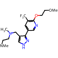 CNCCN(C)Cc1c[nH]nc1-c1cnc(OCCOC)c(C(F)(F)F)c1